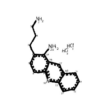 Cl.Cl.NCCCc1ccc2nc3ccccc3cc2c1N